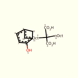 CCCCCCCCC(CCCCCCCC)(C(=O)O)C(=O)O.Oc1ccc2cc1C2